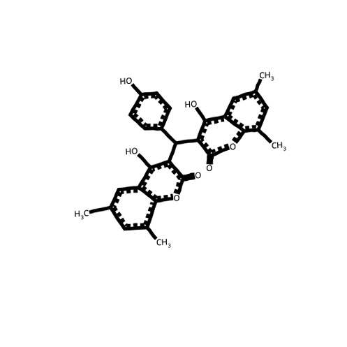 Cc1cc(C)c2oc(=O)c(C(c3ccc(O)cc3)c3c(O)c4cc(C)cc(C)c4oc3=O)c(O)c2c1